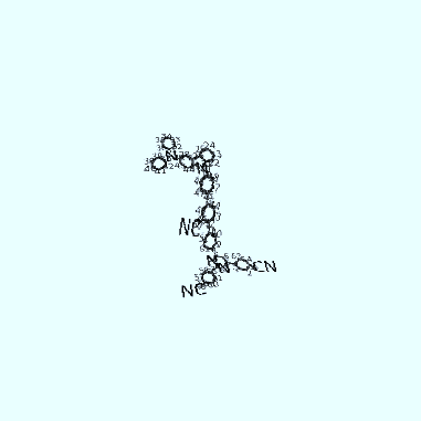 N#Cc1ccc(-c2cc(-c3ccc(-c4ccc(-c5ccc(-n6c7ccccc7c7cc(N(c8ccccc8)c8ccccc8)ccc76)cc5)cc4C#N)cc3)nc(-c3ccc(C#N)cc3)n2)cc1